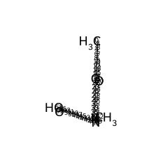 CCCCCCCCC=CCCCCCCCCOC(=O)CCCCCCCCCCCCCCCCCN1C(CCCCCCCCCCCCCCCCC(=O)O)=NCC1C